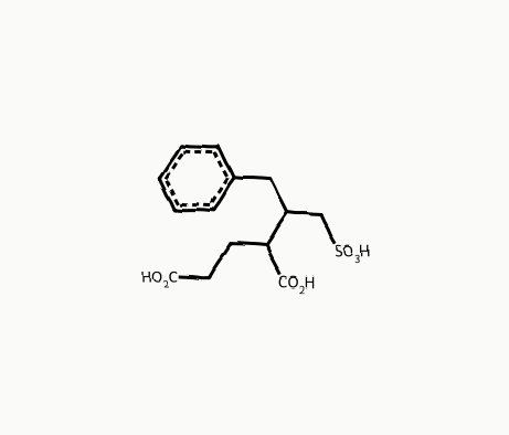 O=C(O)CCC(C(=O)O)C(Cc1ccccc1)CS(=O)(=O)O